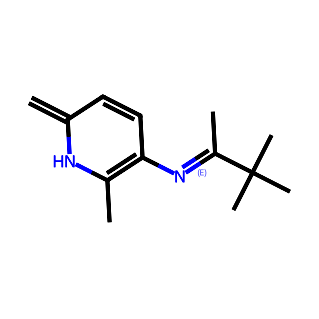 C=C1C=CC(/N=C(\C)C(C)(C)C)=C(C)N1